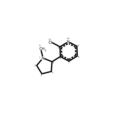 CN1CCCC1c1cccnc1Cl